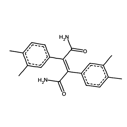 Cc1ccc(C(C(N)=O)=C(C(N)=O)c2ccc(C)c(C)c2)cc1C